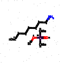 CCCCCCCCCCCCCCCCN.CCOP(=O)(OC)OC